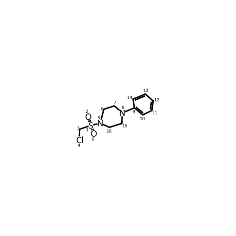 O=S(=O)(CCl)N1CCN(c2ccccc2)CC1